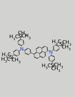 C[Si](C)(C)c1ccc(N(c2ccc(-c3ccc4ccc5c(N(c6ccc([Si](C)(C)C)cc6)c6ccc([Si](C)(C)C)cc6)ccc6ccc3c4c65)cc2)c2ccc([Si](C)(C)C)cc2)cc1